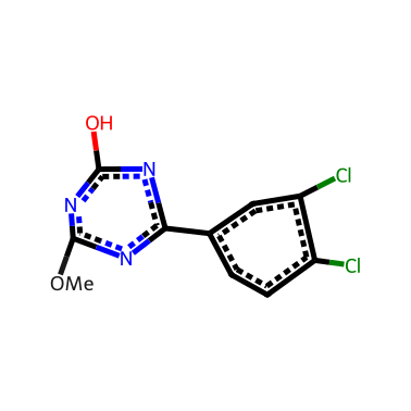 COc1nc(O)nc(-c2ccc(Cl)c(Cl)c2)n1